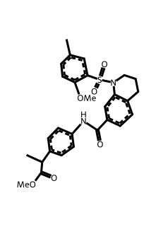 COC(=O)C(C)c1ccc(NC(=O)c2ccc3c(c2)N(S(=O)(=O)c2cc(C)ccc2OC)CCC3)cc1